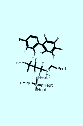 CCCCCCC(F)(F)C(F)(F)C(F)(F)[NH2+]CC(C)CCC.CCCCCCC[B-](CCCCCCC)(CCCCCCC)CCCCCCC.Fc1ccc(-c2c(F)c(F)c(F)c(F)c2F)c(F)c1F